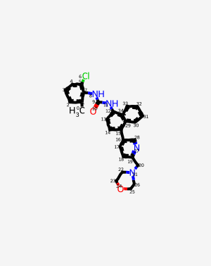 Cc1cccc(Cl)c1NC(=O)Nc1ccc(-c2ccc(CN3CCOCC3)nc2)c2ccccc12